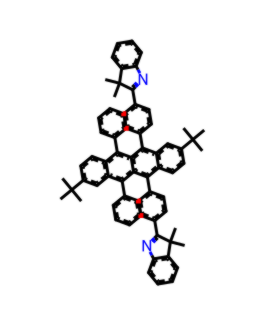 CC(C)(C)c1ccc2c(-c3ccc(C4=Nc5ccccc5C4(C)C)cc3)c3c(-c4ccccc4)c4cc(C(C)(C)C)ccc4c(-c4ccccc4)c3c(-c3ccc(C4=Nc5ccccc5C4(C)C)cc3)c2c1